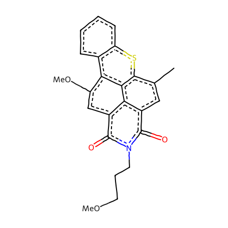 COCCCn1c(=O)c2cc(C)c3sc4ccccc4c4c(OC)cc(c1=O)c2c34